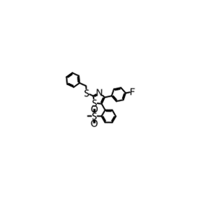 CS(=O)(=O)c1ccccc1-c1sc(SCc2ccccc2)nc1-c1ccc(F)cc1